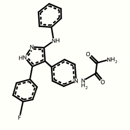 Fc1ccc(-c2[nH]nc(Nc3ccccc3)c2-c2ccncc2)cc1.NC(=O)C(N)=O